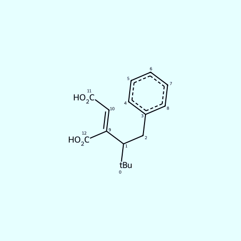 CC(C)(C)C(Cc1ccccc1)C(=CC(=O)O)C(=O)O